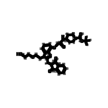 CC(C)(C)OC(=O)N1CCC(NC(=O)COc2cccc3c2nc(CN2C(=O)c4ccccc4C2=O)n3CCOCCO)CC1